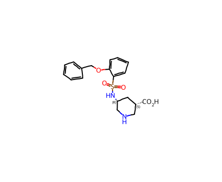 O=C(O)[C@@H]1CNC[C@H](NS(=O)(=O)c2ccccc2OCc2ccccc2)C1